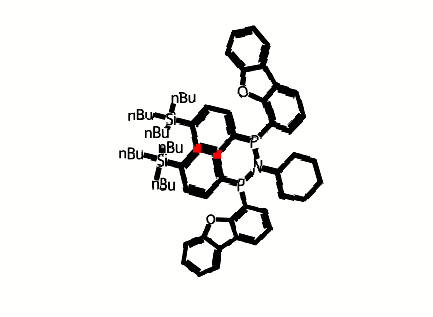 CCCC[Si](CCCC)(CCCC)c1ccc(P(c2cccc3c2oc2ccccc23)N(C2CCCCC2)P(c2ccc([Si](CCCC)(CCCC)CCCC)cc2)c2cccc3c2oc2ccccc23)cc1